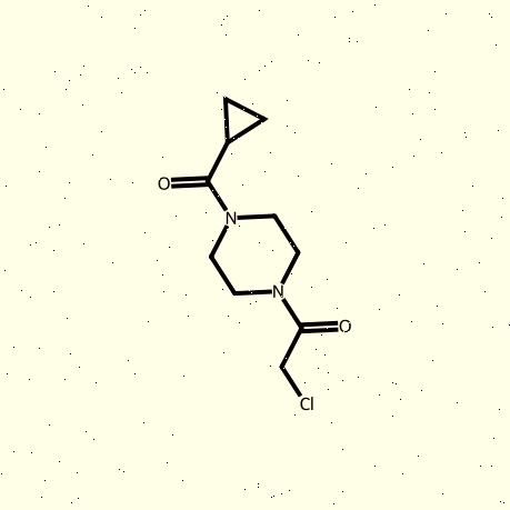 O=C(CCl)N1CCN(C(=O)C2CC2)CC1